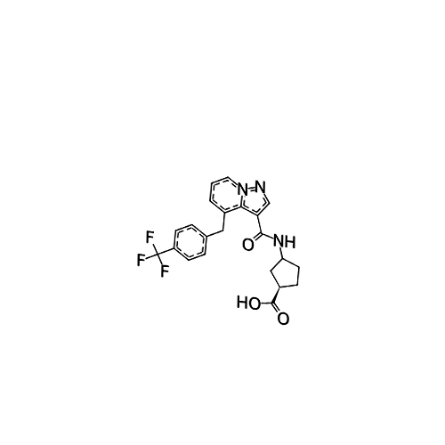 O=C(NC1CC[C@@H](C(=O)O)C1)c1cnn2cccc(Cc3ccc(C(F)(F)F)cc3)c12